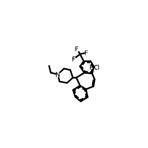 CCN1CCC(C2c3ccccc3C=Cc3ccc(C(F)(F)F)cc32)CC1.Cl